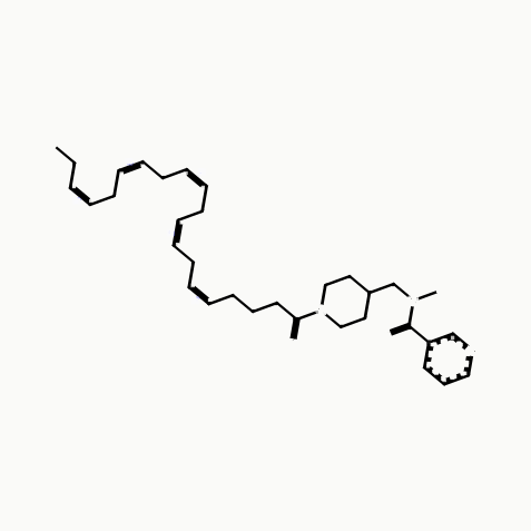 CC/C=C\C/C=C\C/C=C\C/C=C\C/C=C\CCCC(=O)N1CCC(CN(C)C(=O)c2cccnc2)CC1